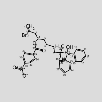 C=C(Br)C[C@@H](CCCCC(C)(C)[Si](O)(c1ccccc1)c1ccccc1)OC(=O)c1ccc([N+](=O)[O-])cc1